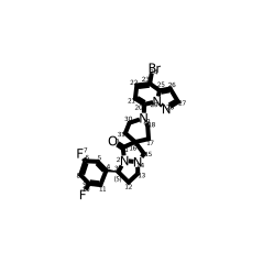 O=C1N2[C@H](c3cc(F)cc(F)c3)CCN2CC12CCN(c1ccc(Br)c3ccnn13)CC2